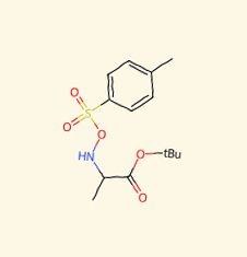 Cc1ccc(S(=O)(=O)ONC(C)C(=O)OC(C)(C)C)cc1